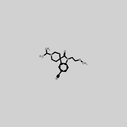 COCCN1C(=O)C2(CCN(C(C)C)CC2)c2cc(C#N)ccc21